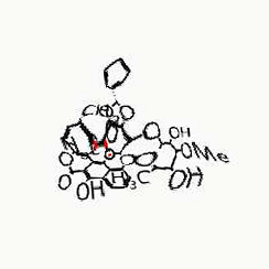 COC1C(O)C(C)OC(OC2C(Oc3cccc4c(O)c5c(=O)oc6ccc(C)c7c(=O)oc(c34)c5c67)OC(C)C3O[C@H](c4ccccc4)OC32)C1O